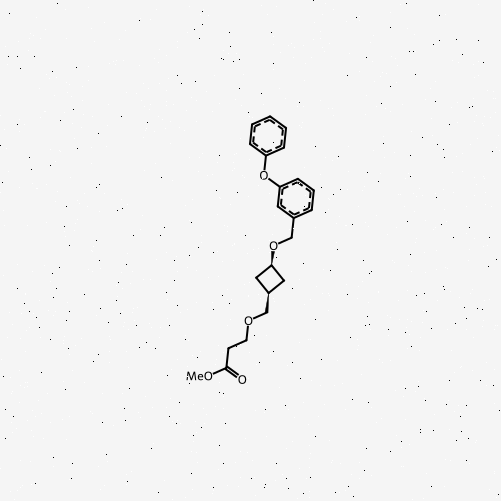 COC(=O)CCOC[C@H]1C[C@@H](OCc2cccc(Oc3ccccc3)c2)C1